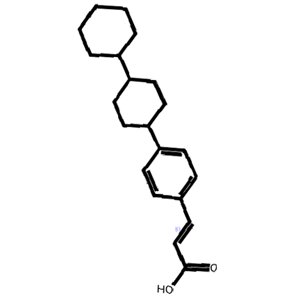 O=C(O)/C=C/c1ccc(C2CCC(C3CCCCC3)CC2)cc1